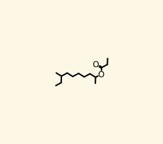 CCC(=O)OC(C)CCCCCC(C)CC